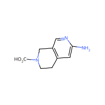 Nc1cc2c(cn1)CN(C(=O)O)CC2